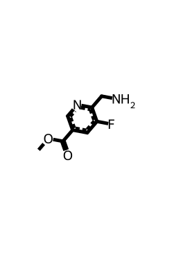 COC(=O)c1cnc(CN)c(F)c1